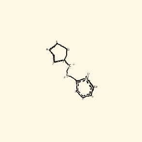 c1ccc(SSC2CCCC2)nc1